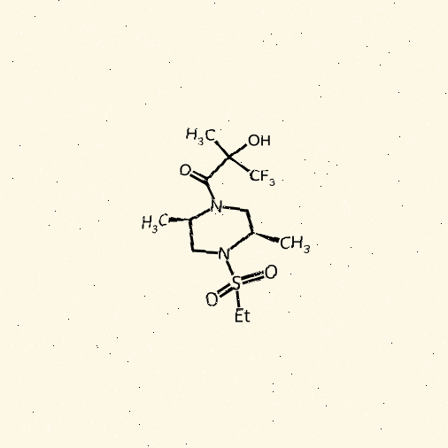 CCS(=O)(=O)N1C[C@@H](C)N(C(=O)C(C)(O)C(F)(F)F)C[C@H]1C